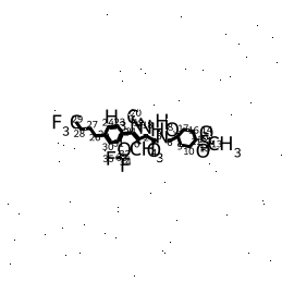 Cc1c(C(=O)NC[C@]2(O)CC[C@@H](S(C)(=O)=O)CC2)nn(C)c1-c1ccc(CCCC(F)(F)F)cc1OC(F)F